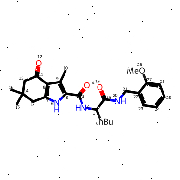 CCCCC(NC(=O)c1[nH]c2c(c1C)C(=O)CC(C)(C)C2)C(=O)NCc1ccccc1OC